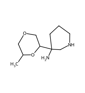 CC1COCC(C2(N)CCCNC2)O1